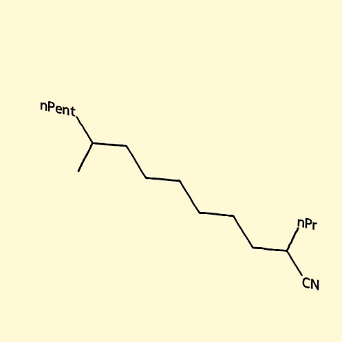 CCCCCC(C)CCCCCCC(C#N)CCC